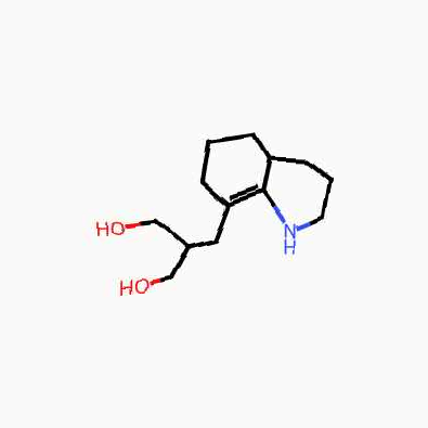 OCC(CO)CC1=C2NCCCC2CCC1